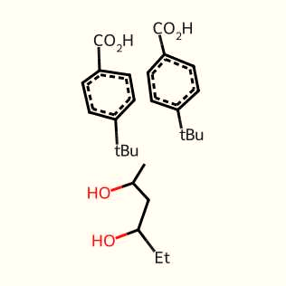 CC(C)(C)c1ccc(C(=O)O)cc1.CC(C)(C)c1ccc(C(=O)O)cc1.CCC(O)CC(C)O